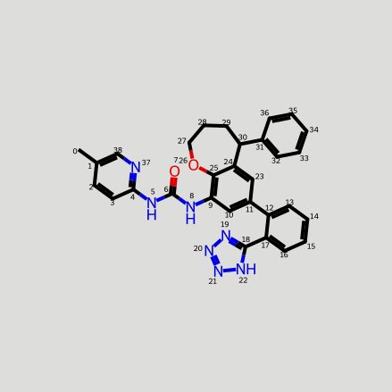 Cc1ccc(NC(=O)Nc2cc(-c3ccccc3-c3nnn[nH]3)cc3c2OCCCC3c2ccccc2)nc1